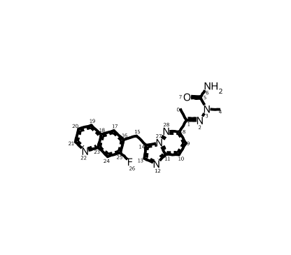 C/C(=N\N(C)C(N)=O)c1ccc2ncc(Cc3cc4cccnc4cc3F)n2n1